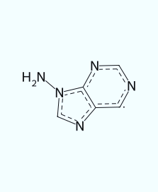 Nn1cnc2[c]ncnc21